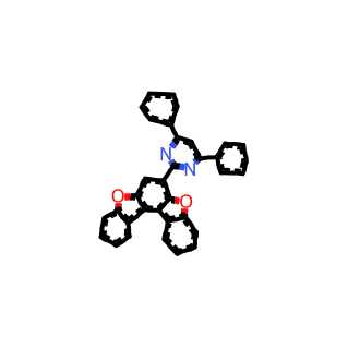 c1ccc(-c2cc(-c3ccccc3)nc(-c3cc4oc5ccccc5c4c4c3oc3ccccc34)n2)cc1